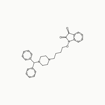 O=C1C(=O)N(OCCCCN2CCN(C(c3ccccc3)c3ccccc3)CC2)c2ccccc21